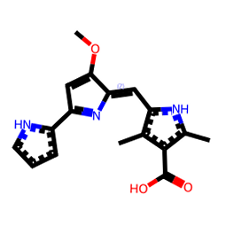 COC1=CC(c2ccc[nH]2)=N/C1=C\c1[nH]c(C)c(C(=O)O)c1C